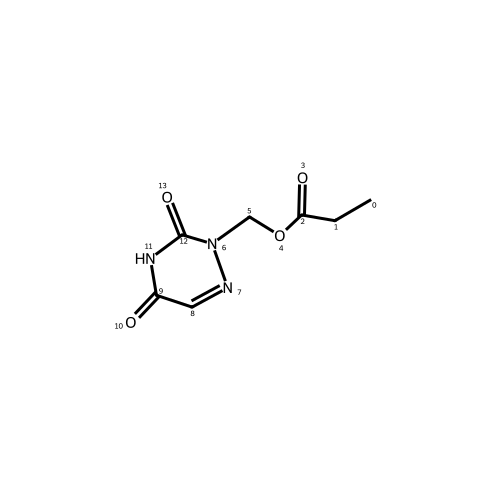 CCC(=O)OCn1ncc(=O)[nH]c1=O